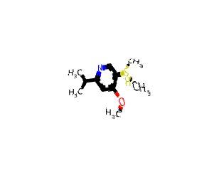 COc1cc(C(C)C)ncc1[SH](C)C